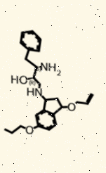 C=CCOC1CC(NC[C@@H](O)[C@@H](N)Cc2ccccc2)c2cc(OCCC)ccc21